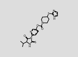 CC(C)C1NC(=S)N(c2ccc(OC(=O)N3CCC(Sc4ncc[nH]4)CC3)cn2)C1=O